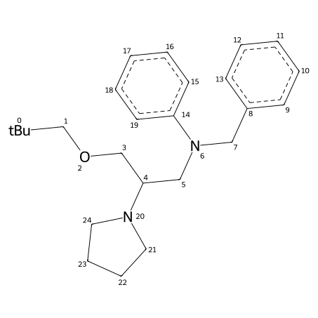 CC(C)(C)COCC(CN(Cc1ccccc1)c1ccccc1)N1CCCC1